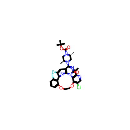 CC(C)c1ncc(Cl)c2c1-n1c(=O)nc(N3C[C@@H](C)N(C(=O)OC(C)(C)C)C[C@@H]3C)c3cc(F)c(nc31)-c1c(F)cccc1OCCO2